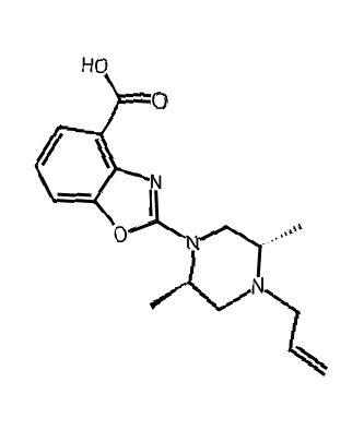 C=CCN1C[C@@H](C)N(c2nc3c(C(=O)O)cccc3o2)C[C@@H]1C